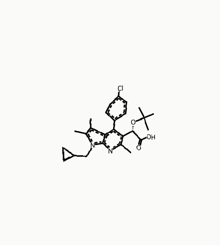 Cc1nc2c(c(C)c(C)n2CC2CC2)c(-c2ccc(Cl)cc2)c1[C@H](OC(C)(C)C)C(=O)O